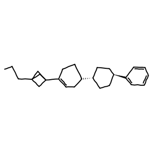 CCCC12CC(C3=CCC([C@H]4CC[C@H](c5ccccc5)CC4)CC3)(C1)C2